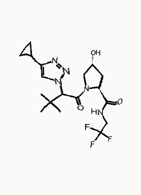 CC(C)(C)C(C(=O)N1C[C@H](O)C[C@H]1C(=O)NCC(F)(F)F)n1cc(C2CC2)nn1